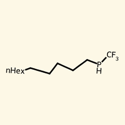 CCCCCCCCCCCPC(F)(F)F